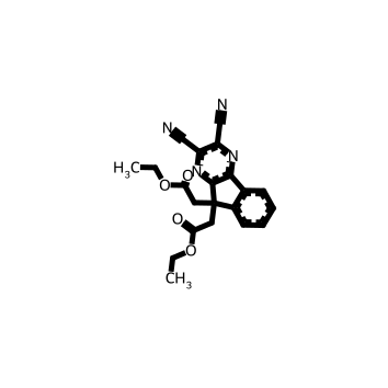 CCOC(=O)CC1(CC(=O)OCC)c2ccccc2-c2nc(C#N)c(C#N)nc21